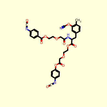 Cc1ccc(CC(NC(=O)COCCOC(=O)c2ccc(N=C=O)cc2)C(=O)OCCOCC(=O)Oc2ccc(N=C=O)cc2)cc1OC#N